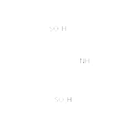 N.O=S(=O)(O)c1ccc(S(=O)(=O)O)cc1